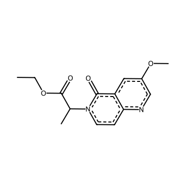 CCOC(=O)C(C)n1ccc2ncc(OC)cc2c1=O